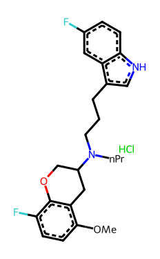 CCCN(CCCc1c[nH]c2ccc(F)cc12)C1COc2c(F)ccc(OC)c2C1.Cl